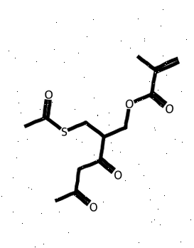 C=C(C)C(=O)OCC(CSC(C)=O)C(=O)CC(C)=O